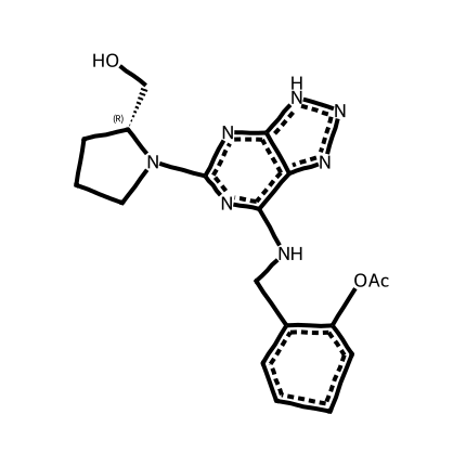 CC(=O)Oc1ccccc1CNc1nc(N2CCC[C@@H]2CO)nc2[nH]nnc12